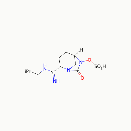 CC(C)CNC(=N)[C@@H]1CC[C@@H]2CN1C(=O)N2OS(=O)(=O)O